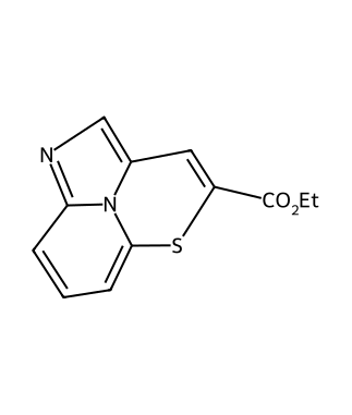 CCOC(=O)C1=Cc2cnc3cccc(n23)S1